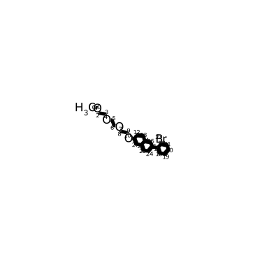 COCCOCCOCCOc1ccc2cc(-c3ccccc3Br)ccc2c1